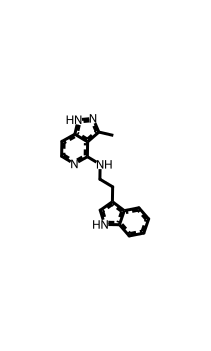 Cc1n[nH]c2ccnc(NCCc3c[nH]c4ccccc34)c12